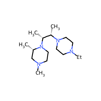 CCN1CCN([C@@H](C)[C@@H](C)N2CCN(C)C[C@@H]2C)CC1